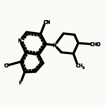 CC1CN(c2c(C#N)cnc3c(Cl)c(F)ccc23)CCC1C=O